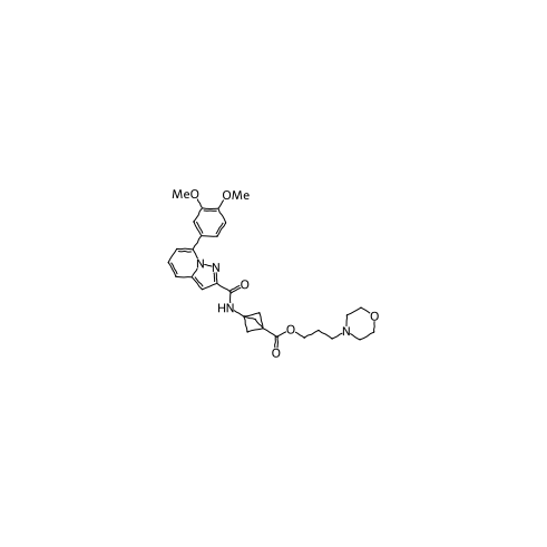 COc1ccc(-c2cccc3cc(C(=O)NC45CC(C(=O)OCCCN6CCOCC6)(C4)C5)nn23)cc1OC